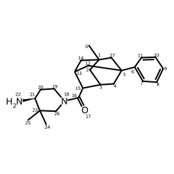 CC12CC3CC(c4ccccc4)(CC(C1)C3C(=O)N1CC[C@H](N)C(C)(C)C1)C2